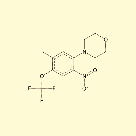 Cc1cc(N2CCOCC2)c([N+](=O)[O-])cc1OC(F)(F)F